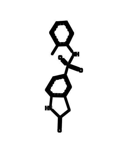 Cc1ccccc1NS(=O)(=O)c1ccc2c(c1)CC(=O)N2